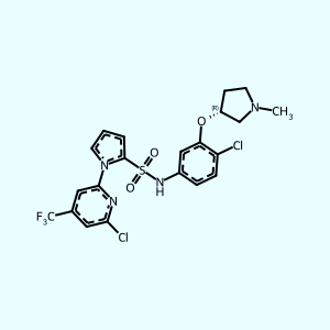 CN1CC[C@@H](Oc2cc(NS(=O)(=O)c3cccn3-c3cc(C(F)(F)F)cc(Cl)n3)ccc2Cl)C1